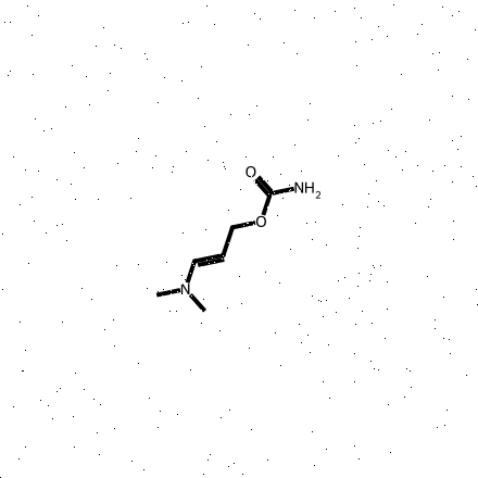 CN(C)C=CCOC(N)=O